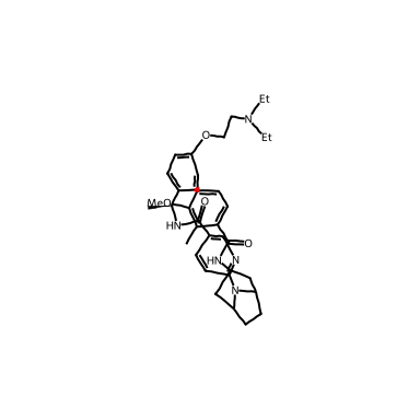 CCN(CC)CCOc1ccc([C@H](C)NC(=O)c2ccc(N3C4CCC3CC(NC(=O)c3cccc(OC)c3C)C4)nc2)cc1